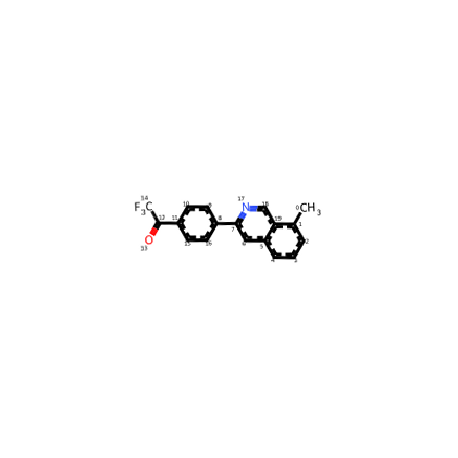 Cc1cccc2cc(-c3ccc(C(=O)C(F)(F)F)cc3)ncc12